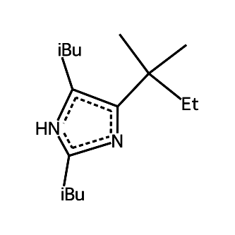 CCC(C)c1nc(C(C)(C)CC)c(C(C)CC)[nH]1